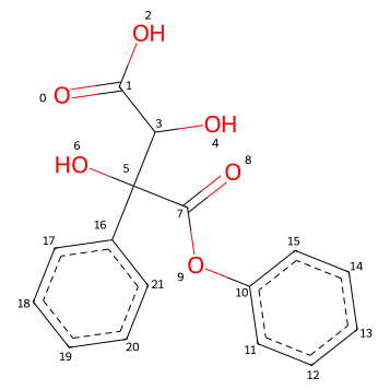 O=C(O)C(O)C(O)(C(=O)Oc1ccccc1)c1ccccc1